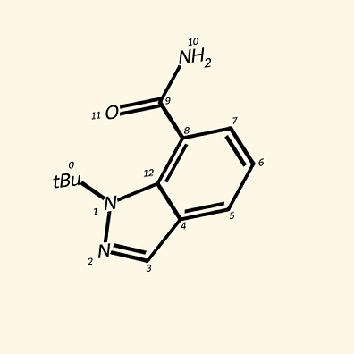 CC(C)(C)n1ncc2cccc(C(N)=O)c21